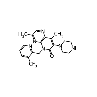 Cc1cnc2c(C)c(N3CCNCC3)c(=O)n(Cc3ncccc3C(F)(F)F)c2n1